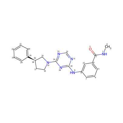 CNC(=O)c1cccc(Nc2ncnc(N3CC[C@@H](c4ccccc4)C3)n2)c1